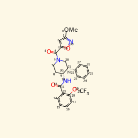 COc1cc(C(=O)N2CC[C@@H](NC(=O)c3ccccc3OC(F)(F)F)[C@@H](c3ccccc3)C2)on1